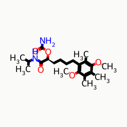 COc1c(C)c(C)c(OC)c(CCCC[C@H](OC(N)=O)C(=O)NC(C)C)c1C